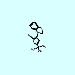 CC(C)(O)c1cc(N2CCc3ccccc32)c(Br)s1